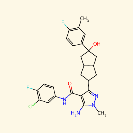 Cc1cc(C2(O)CC3CC(c4nn(C)c(N)c4C(=O)Nc4ccc(F)c(Cl)c4)CC3C2)ccc1F